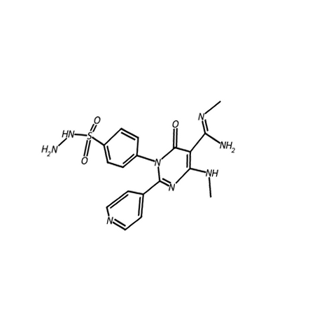 CN=C(N)c1c(NC)nc(-c2ccncc2)n(-c2ccc(S(=O)(=O)NN)cc2)c1=O